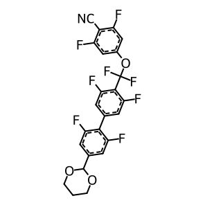 N#Cc1c(F)cc(OC(F)(F)c2c(F)cc(-c3c(F)cc(C4OCCCO4)cc3F)cc2F)cc1F